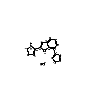 Cl.c1cc(-c2ccsc2)c2oc(C3=NCCN3)cc2c1